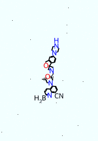 Bc1ccc2c(N3C[C@H](CN4CC5(C4)OCc4cc(N6CCNCC6)ccc45)O[C@H](C)C3)ccc(C#N)c2n1